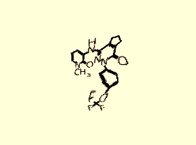 Cn1cccc(Nc2nn(-c3ccc(OC(F)(F)F)cc3)c(=O)c3c2CCC3)c1=O